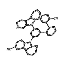 N#Cc1ccc2c(c1)c1ccccc1n2-c1cc(-c2ccccc2-c2ccccc2C#N)cc(-n2c3ccccc3c3ccncc32)c1